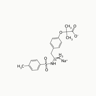 Cc1ccc(S(=O)(=O)N[C@H](C)Cc2ccc(OC(C)(C)C(=O)[O-])cc2)cc1.[Na+]